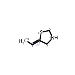 C/C=C1/CNCS1